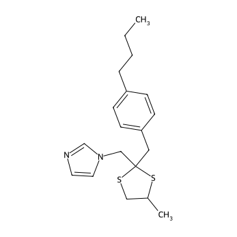 CCCCc1ccc(CC2(Cn3ccnc3)SCC(C)S2)cc1